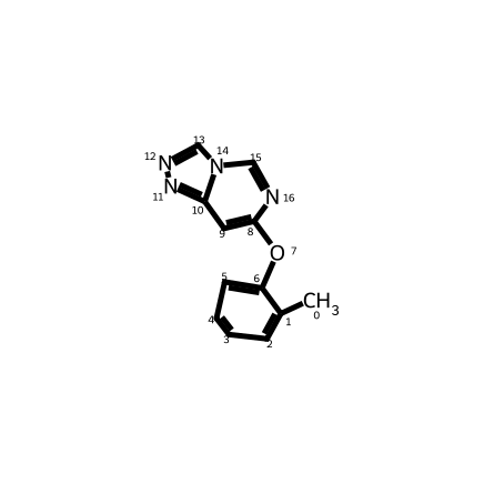 Cc1ccccc1Oc1cc2nncn2cn1